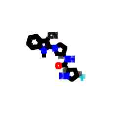 Cn1c(N2CC[C@H](NC(=O)[C@@H]3C[C@H](F)CN3)C2)c(C#N)c2ccccc21